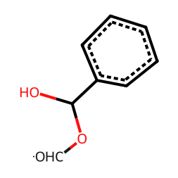 O=[C]OC(O)c1ccccc1